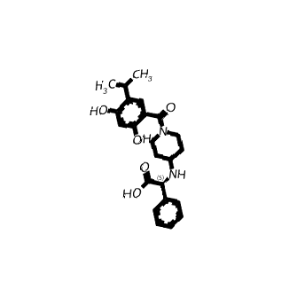 CC(C)c1cc(C(=O)N2CCC(N[C@H](C(=O)O)c3ccccc3)CC2)c(O)cc1O